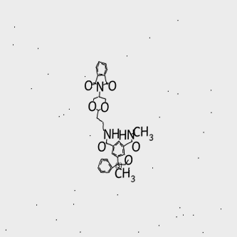 CNC(=O)c1cc(C(=O)NCCCC2OCC(N3C(=O)c4ccccc4C3=O)CO2)cc2c1OC[C@@]2(C)c1ccccc1